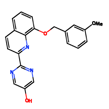 COc1cccc(COc2cccc3ccc(-c4ncc(O)cn4)nc23)c1